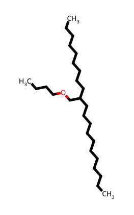 CCCCCCCCCCCC(CCCCCCCCC)COCCCC